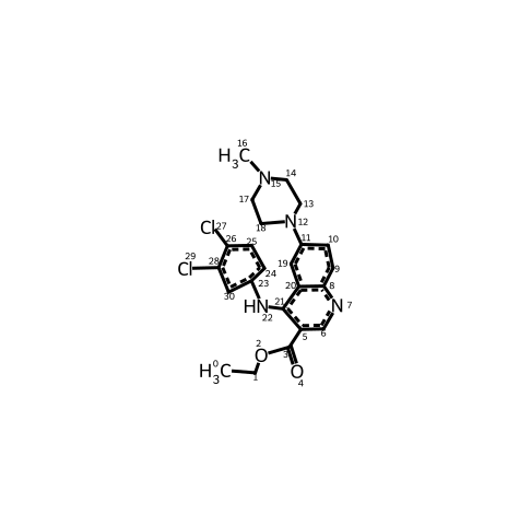 CCOC(=O)c1cnc2ccc(N3CCN(C)CC3)cc2c1Nc1ccc(Cl)c(Cl)c1